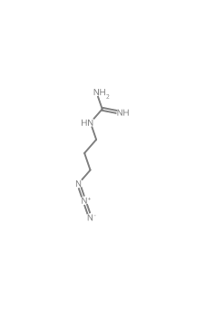 [N-]=[N+]=NCCCNC(=N)N